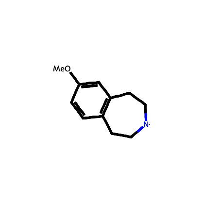 COc1ccc2c(c1)CC[N]CC2